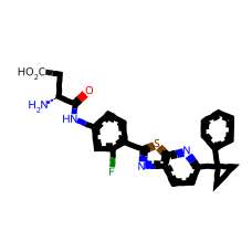 N[C@H](CC(=O)O)C(=O)Nc1ccc(-c2nc3ccc(C4(c5ccccc5)CC4)nc3s2)c(F)c1